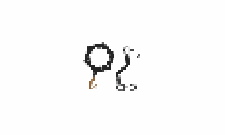 Brc1ccccc1.C=CCC=O